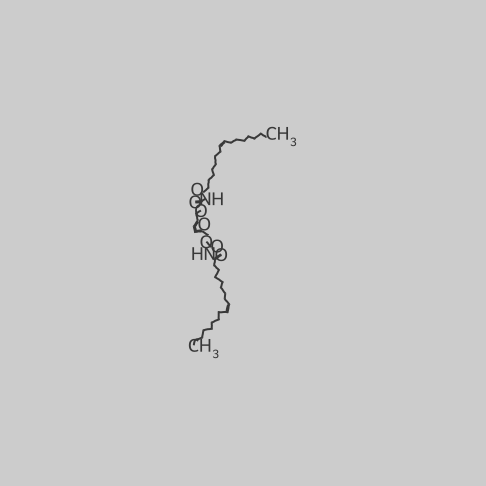 CCCCCCCC/C=C\CCCCCCCC(=O)NC(=O)OCc1ccc(COC(=O)NC(=O)CCCCCCC/C=C\CCCCCCCC)o1